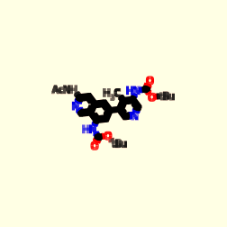 CC(=O)Nc1cc2cc(-c3cncc(NC(=O)OC(C)(C)C)c3C)cc(NC(=O)OC(C)(C)C)c2cn1